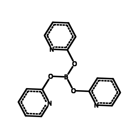 c1ccc(OB(Oc2ccccn2)Oc2ccccn2)nc1